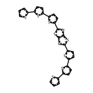 c1csc(-c2ccc(-c3ccc(-c4nc5sc(-c6ccc(-c7ccc(-c8cccs8)s7)s6)nc5s4)s3)s2)c1